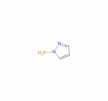 Pn1cccn1